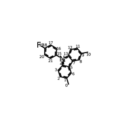 Cc1ccc2c(c1)c1cc(C)ccc1n2-c1ccc(F)cc1